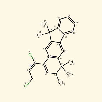 CC1C=C(/C(Cl)=C\CCl)c2cc3c(cc2C1(C)C)-c1ccccc1C3(C)C